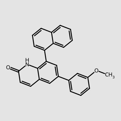 COc1cccc(-c2cc(-c3cccc4ccccc34)c3[nH]c(=O)ccc3c2)c1